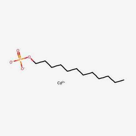 CCCCCCCCCCCCOP(=O)([O-])[O-].[Cd+2]